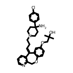 CC(C)(O)COc1ccc2c(c1)C(=CCCN1CCC(N)(c3ccc(Cl)cc3)CC1)c1cccnc1CO2